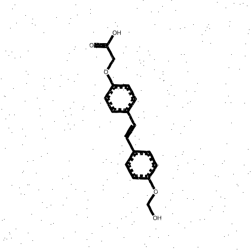 O=C(O)COc1ccc(/C=C/c2ccc(OCO)cc2)cc1